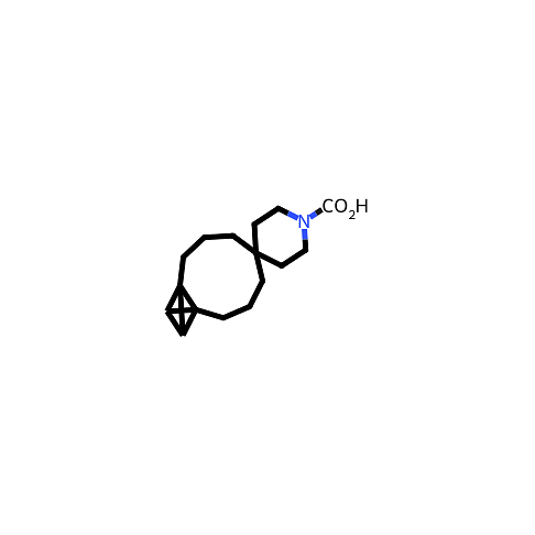 O=C(O)N1CCC2(CCCC34C5C3C54CCC2)CC1